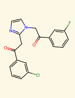 O=C(Cc1nccn1CC(=O)c1cccc(F)c1)c1cccc(Cl)c1